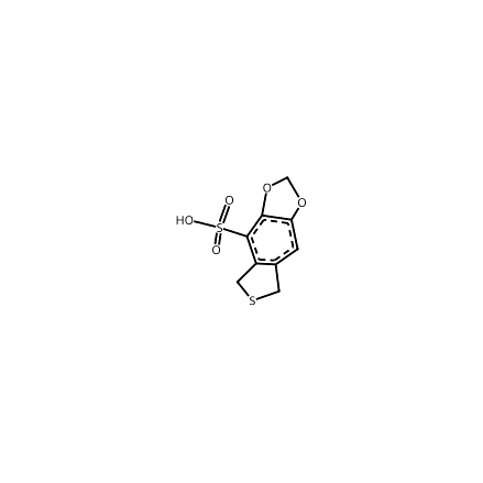 O=S(=O)(O)c1c2c(cc3c1OCO3)CSC2